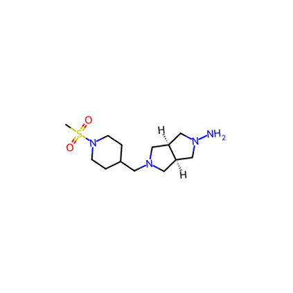 CS(=O)(=O)N1CCC(CN2C[C@H]3CN(N)C[C@H]3C2)CC1